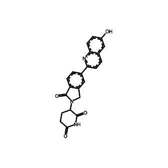 O=C1CCC(N2Cc3cc(-c4ccc5cc(O)ccc5n4)ccc3C2=O)C(=O)N1